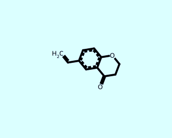 C=Cc1ccc2c(c1)C(=O)CCO2